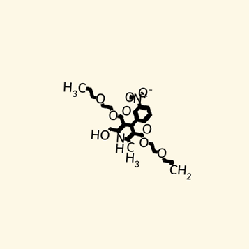 C=CCOCCOC(=O)C1=C(C)NC(CO)=C(C(=O)OCCOCCC)C1c1cccc([N+](=O)[O-])c1